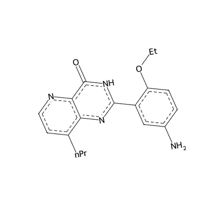 CCCc1ccnc2c(=O)[nH]c(-c3cc(N)ccc3OCC)nc12